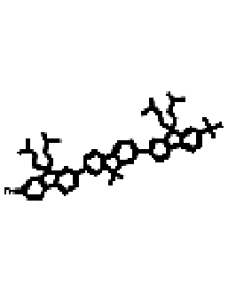 CC(C)CCC1(CCC(C)C)c2cc(Br)ccc2-c2ccc(-c3ccc4c(c3)C(C)(C)c3cc(-c5ccc6c(c5)C(CCC(C)C)(CCC(C)C)c5cc(C(C)(C)C)ccc5-6)ccc3-4)cc21